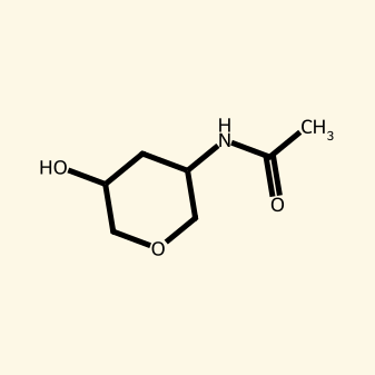 CC(=O)NC1COCC(O)C1